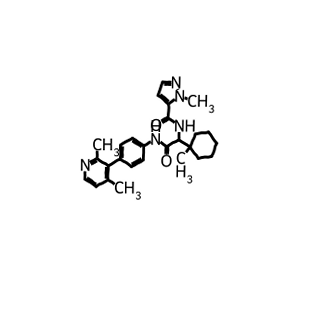 Cc1ccnc(C)c1-c1ccc(NC(=O)C(NC(=O)c2ccnn2C)C2(C)CCCCC2)cc1